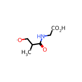 CC(C[O])C(=O)NCC(=O)O